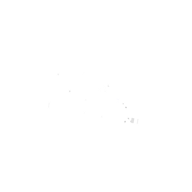 CCC(/C=C\C(Cl)=N/N)C(C)C